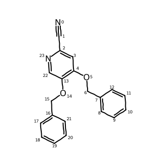 N#Cc1cc(OCc2ccccc2)c(OCc2ccccc2)cn1